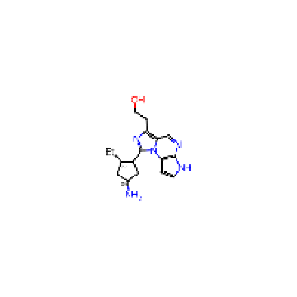 CC[C@@H]1C[C@H](N)CC1c1nc(CCO)c2cnc3[nH]ccc3n12